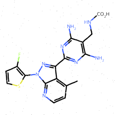 Cc1ccnc2c1c(-c1nc(N)c(CNC(=O)O)c(N)n1)nn2-c1sccc1F